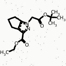 CCOC(=O)c1nn(CC(=O)OC(C)(C)C)c2c1CCC2